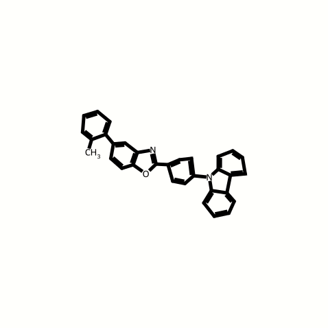 Cc1ccccc1-c1ccc2oc(-c3ccc(-n4c5ccccc5c5ccccc54)cc3)nc2c1